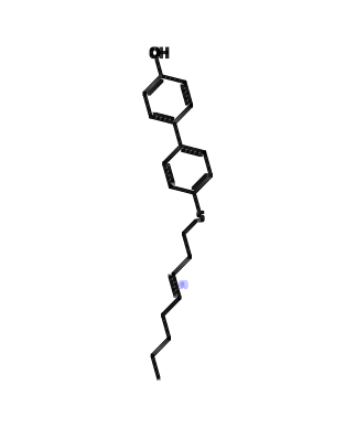 CCCC/C=C/CCSc1ccc(-c2ccc(O)cc2)cc1